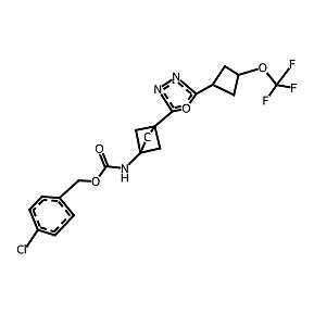 O=C(NC12CC(c3nnc(C4CC(OC(F)(F)F)C4)o3)(C1)C2)OCc1ccc(Cl)cc1